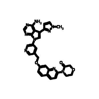 Cn1ccc(-c2cn(-c3cncc(COc4ccc5ccc(N6CCOCC6=O)nc5c4)c3)c3ncnc(N)c23)n1